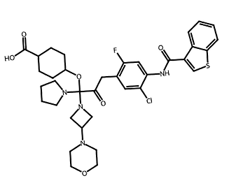 O=C(Nc1cc(F)c(CC(=O)C(OC2CCC(C(=O)O)CC2)(N2CCCC2)N2CC(N3CCOCC3)C2)cc1Cl)c1csc2ccccc12